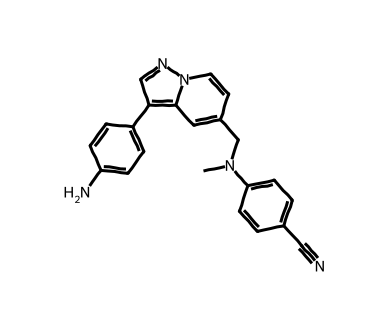 CN(Cc1ccn2ncc(-c3ccc(N)cc3)c2c1)c1ccc(C#N)cc1